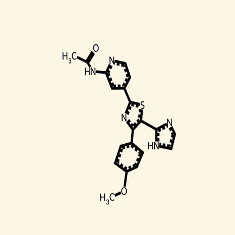 COc1ccc(-c2nc(-c3ccnc(NC(C)=O)c3)sc2-c2ncc[nH]2)cc1